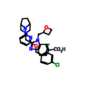 O=C(O)c1ccc2nc(CN3CC4CCC(C3)N4c3cccc(OCc4ccc(Cl)cc4F)n3)n(C[C@@H]3CCO3)c2c1